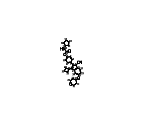 N#Cc1c(-c2ccc(OC(=O)NC3CCCC3)cc2)n(C2CCC2)c2cc(OC3CCOCC3)ccc12